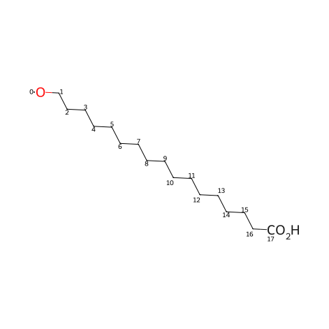 [O]CCCCCCCCCCCCCCCCC(=O)O